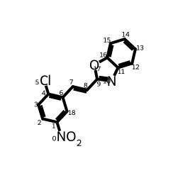 O=[N+]([O-])c1ccc(Cl)c(C=Cc2nc3ccccc3o2)c1